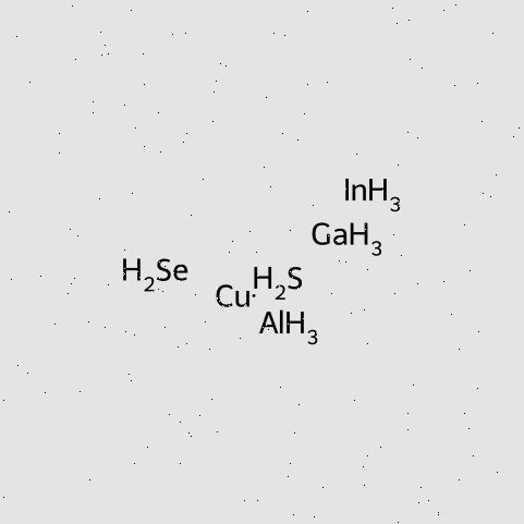 S.[AlH3].[Cu].[GaH3].[InH3].[SeH2]